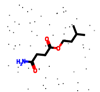 CC(C)CCOC(=O)CCC(N)=O